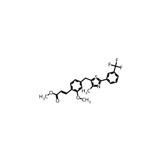 COC(=O)C=Cc1ccc(Cc2sc(-c3cccc(C(F)(F)F)c3)nc2C)cc1OC